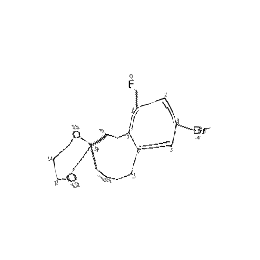 Fc1cc(Br)cc2c1CC1(CC2)OCCO1